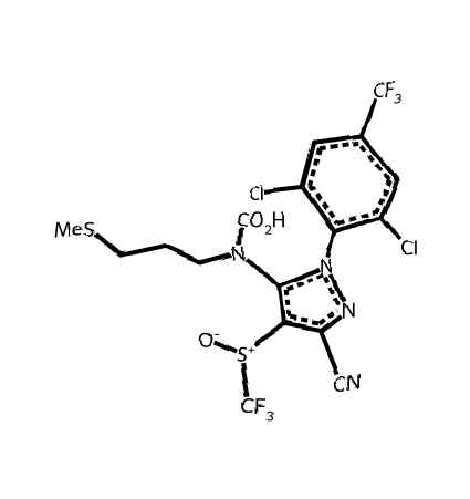 CSCCCN(C(=O)O)c1c([S+]([O-])C(F)(F)F)c(C#N)nn1-c1c(Cl)cc(C(F)(F)F)cc1Cl